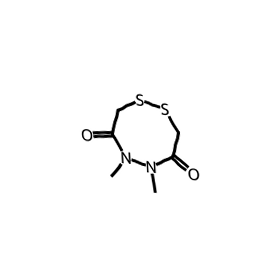 CN1C(=O)CSSCC(=O)N1C